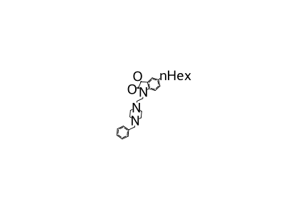 CCCCCCc1ccc2c(c1)C(=O)C(=O)N2CCN1CCN(Cc2ccccc2)CC1